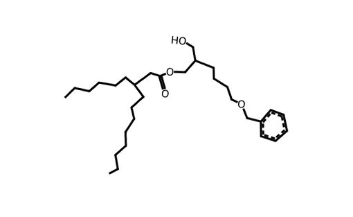 CCCCCCCCC(CCCCCC)CC(=O)OCC(CO)CCCCOCc1ccccc1